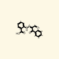 O=CC(=NNc1ccccc1C(=O)O)C(=O)c1ccccc1